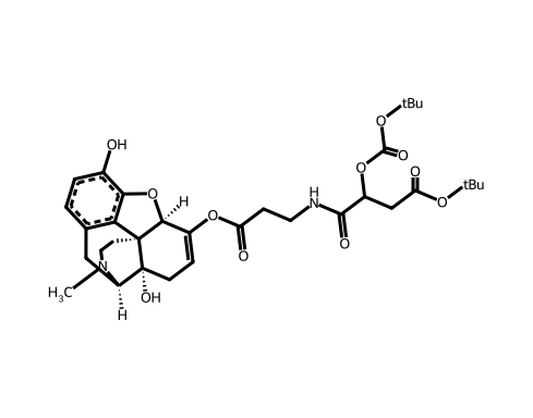 CN1CC[C@]23c4c5ccc(O)c4O[C@H]2C(OC(=O)CCNC(=O)C(CC(=O)OC(C)(C)C)OC(=O)OC(C)(C)C)=CC[C@@]3(O)[C@H]1C5